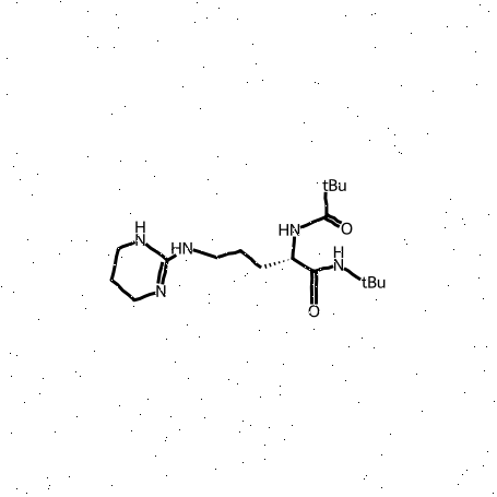 CC(C)(C)NC(=O)[C@H](CCCNC1=NCCCN1)NC(=O)C(C)(C)C